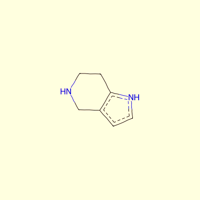 c1cc2c([nH]1)CCNC2